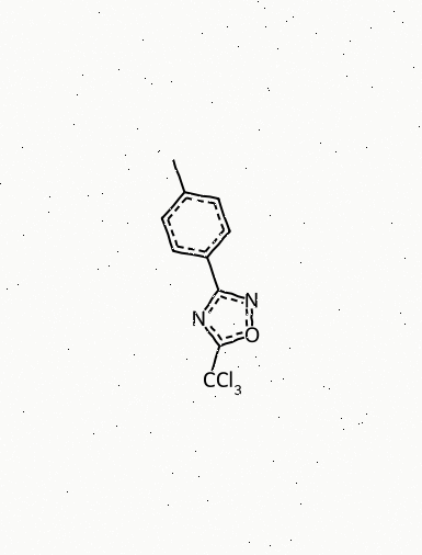 Cc1ccc(-c2noc(C(Cl)(Cl)Cl)n2)cc1